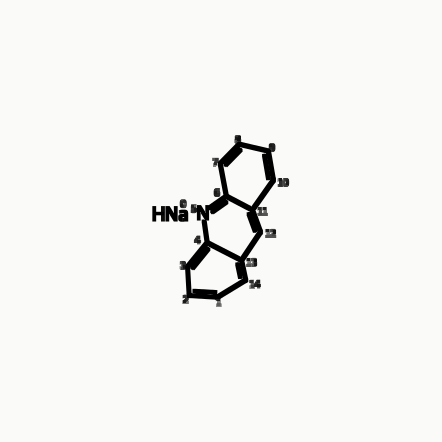 [NaH].c1ccc2nc3ccccc3cc2c1